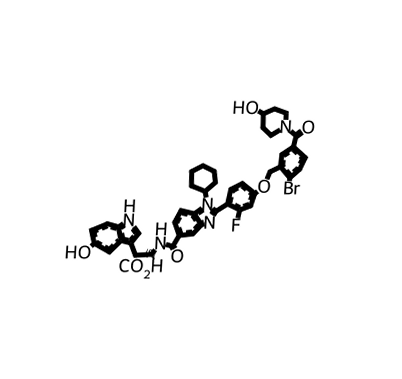 O=C(N[C@@H](Cc1c[nH]c2ccc(O)cc12)C(=O)O)c1ccc2c(c1)nc(-c1ccc(OCc3cc(C(=O)N4CCC(O)CC4)ccc3Br)cc1F)n2C1CCCCC1